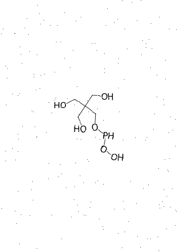 OCC(CO)(CO)COPOO